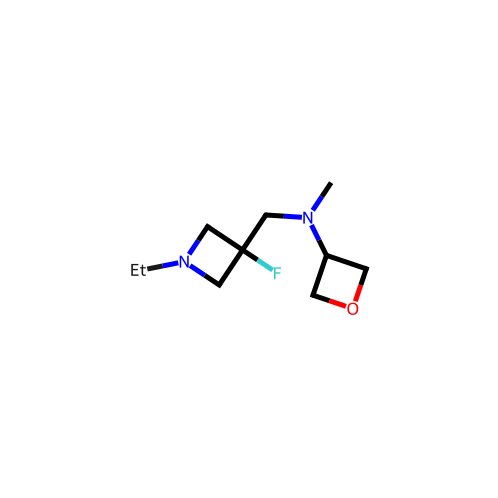 CCN1CC(F)(CN(C)C2COC2)C1